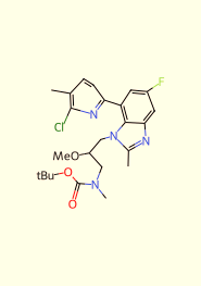 COC(CN(C)C(=O)OC(C)(C)C)Cn1c(C)nc2cc(F)cc(-c3ccc(C)c(Cl)n3)c21